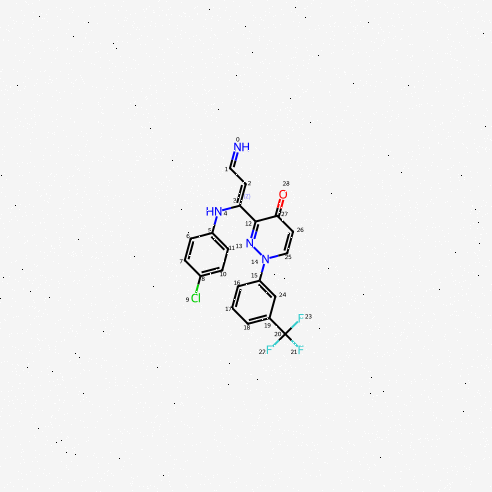 N=C/C=C(\Nc1ccc(Cl)cc1)c1nn(-c2cccc(C(F)(F)F)c2)ccc1=O